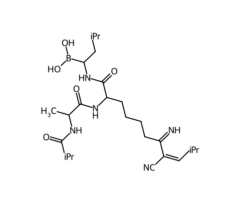 CC(C)C=C(C#N)C(=N)CCCCC(NC(=O)C(C)NC(=O)C(C)C)C(=O)NC(CC(C)C)B(O)O